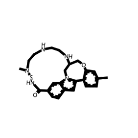 Cc1ccc2c(c1)OCC1Cn3c-2cc2ccc(cc23)C(=O)NSN(C)CCNCCN1